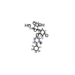 C=N/C(Cn1c(=O)ccn([C@@H]2O[C@H](CO)C(O)C2O)c1=O)=C(F)\C(=C/C)c1ccccc1